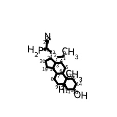 CCC[C@]12CCC3C(CC[C@H]4C[C@H](O)CC[C@]34C)C1CC[C@@H]2CC(P)C#N